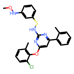 CONc1cccc(SNc2nc(Oc3c(C)cccc3Cl)cc(-c3ccccc3C)n2)c1